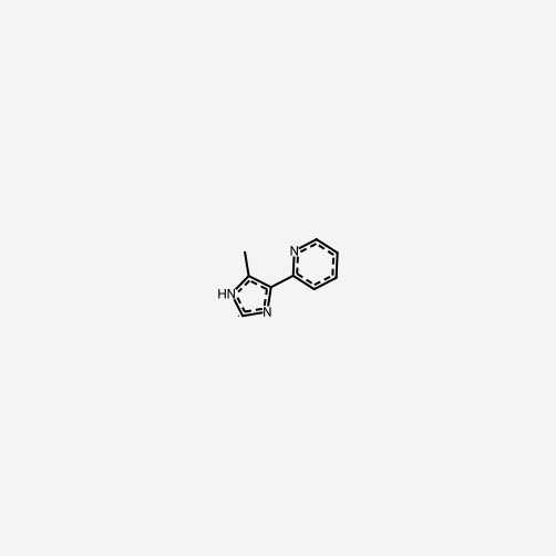 Cc1[nH][c]nc1-c1ccccn1